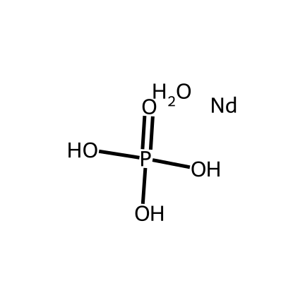 O.O=P(O)(O)O.[Nd]